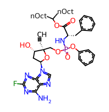 C#C[C@]1(COP(=O)(N[C@@H](Cc2ccccc2)C(=O)OC(CCCCCCCC)CCCCCCCC)Oc2ccccc2)O[C@@H](n2cnc3c(N)nc(F)nc32)C[C@@H]1O